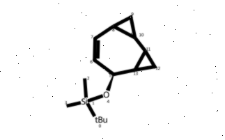 CC(C)(C)[Si](C)(C)O[C@H]1C=CC2CC2C2CC21